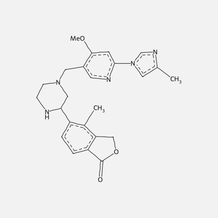 COc1cc(-n2cnc(C)c2)ncc1CN1CCNC(c2ccc3c(c2C)COC3=O)C1